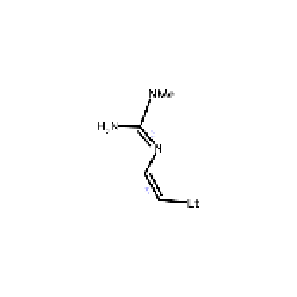 CC/C=C\N=C(/N)NC